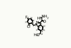 NNC(=O)c1nn(Cc2ccc(F)cc2Cl)c2cc(CO)ccc12